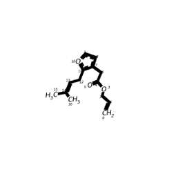 C=CCOC(=O)Cc1ccoc1CC=C(C)C